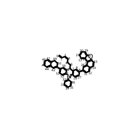 C=C/C=C\CCCc1cc(-c2ccc3ccc4oc5ccccc5c4c3c2)ccc1N(c1ccccc1)c1ccc(C2=Cc3ccccc3CC2)cc1